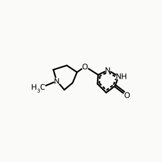 CN1CCC(Oc2ccc(=O)[nH]n2)CC1